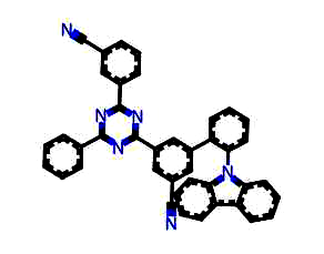 N#Cc1cccc(-c2nc(-c3ccccc3)nc(-c3cc(C#N)cc(-c4ccccc4-n4c5ccccc5c5ccccc54)c3)n2)c1